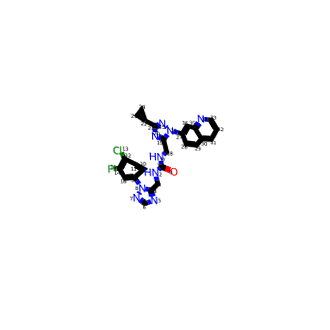 O=C(NCc1ncnn1-c1ccc(Cl)c(F)c1)NCc1nc(C2CC2)nn1-c1ccc2cccnc2c1